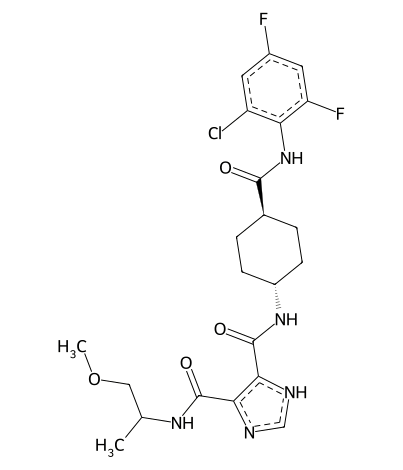 COCC(C)NC(=O)c1nc[nH]c1C(=O)N[C@H]1CC[C@H](C(=O)Nc2c(F)cc(F)cc2Cl)CC1